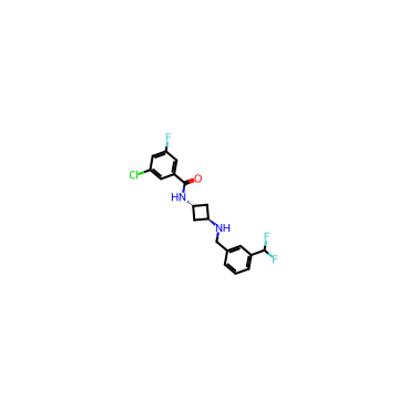 O=C(N[C@H]1C[C@H](NCc2cccc(C(F)F)c2)C1)c1cc(F)cc(Cl)c1